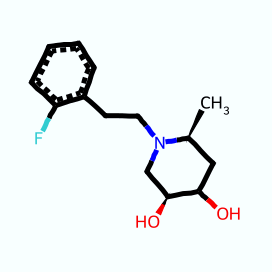 C[C@H]1CC(O)[C@@H](O)CN1CCc1ccccc1F